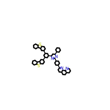 c1ccc(-c2cc(-c3cc(-c4ccc5sc6ccccc6c5c4)cc(-c4ccc5sc6ccccc6c5c4)c3)nc(-c3ccc(-c4ccc5ccc6cccnc6c5n4)cc3)n2)cc1